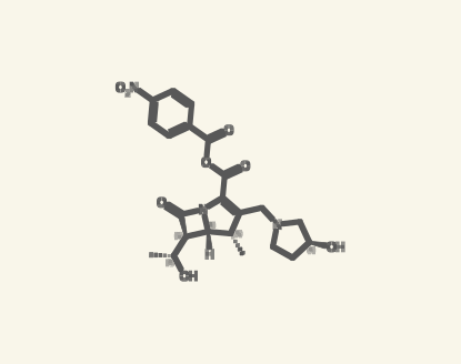 C[C@@H](O)[C@H]1C(=O)N2C(C(=O)OC(=O)c3ccc([N+](=O)[O-])cc3)=C(CN3CC[C@H](O)C3)[C@H](C)[C@H]12